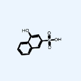 O=S(=O)(O)c1cc(O)c2ccccc2c1